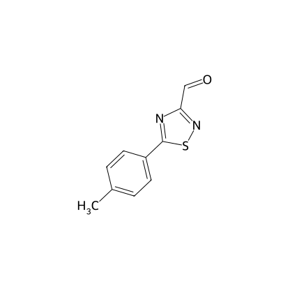 Cc1ccc(-c2nc(C=O)ns2)cc1